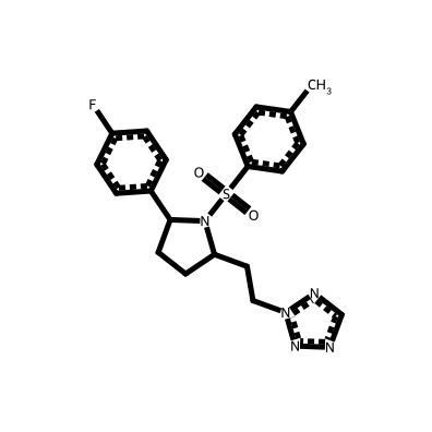 Cc1ccc(S(=O)(=O)N2C(CCn3ncnn3)CCC2c2ccc(F)cc2)cc1